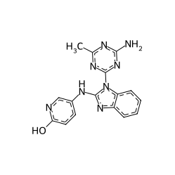 Cc1nc(N)nc(-n2c(Nc3ccc(O)nc3)nc3ccccc32)n1